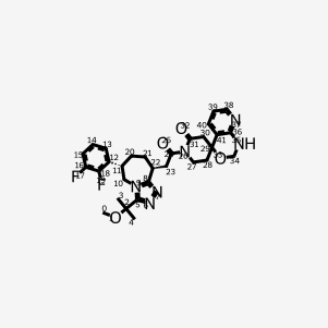 COC(C)(C)c1nnc2n1C[C@H](c1cccc(F)c1F)CC[C@H]2CC(=O)N1CCC2(CC1=O)OCNc1ncccc12